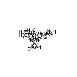 CCC[C@H](c1ccc(C(=O)Nc2nn[nH]n2)cc1)N1C(=O)C(c2cc(Cl)cc(Cl)c2)=NC12CCC(C(C)(C)C)CC2